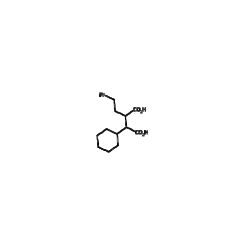 CC(C)CCC(C(=O)O)C(C(=O)O)C1CCCCC1